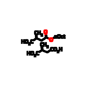 C=C(CC(=O)O)C(=O)O.C=C(CC(=O)OCCCCCCCC)C(=O)O